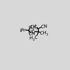 CC(C#N)C(C)(C)C#N.CC(C)C(C)C#N